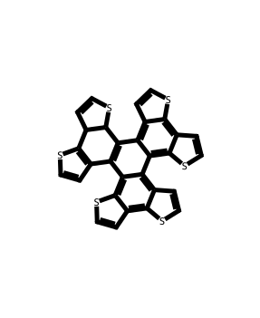 C1=CC2c3sccc3-c3c(c4c5ccsc5c5ccsc5c4c4c5ccsc5c5ccsc5c34)C2S1